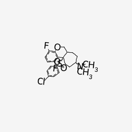 CN(C)[C@@H]1CCC2COc3c(F)ccc(F)c3[C@@]2(S(=O)(=O)c2ccc(Cl)cc2)CC1